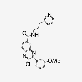 COc1cccc(-c2nc3cc(C(=O)NCCCc4cccnc4)ccc3nc2Cl)c1